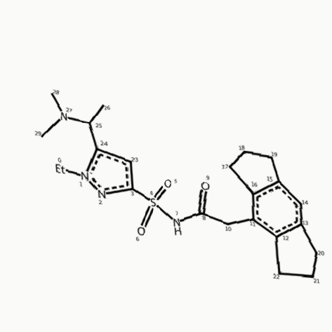 CCn1nc(S(=O)(=O)NC(=O)Cc2c3c(cc4c2CCC4)CCC3)cc1C(C)N(C)C